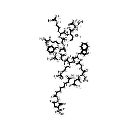 CC[C@@H](C)[C@H](NC(=O)[C@H](CCCNC(=N)N)NC(=O)[C@@H](CCCNC(=N)N)NC(=O)[C@H](Cc1ccccc1)NC(=O)[C@@H](CC(C)C)NC(=O)[C@H](CCCNC(N)N)NC(=O)[C@@H](Cc1c[nH]c2ccccc12)NC(=O)CNC(=O)[C@@H](CO)NC(=O)[C@@H](NC(=O)CCCCCCC(=O)ON1C(=O)CC(S(=O)(=O)O)C1=O)C(C)C)C(=O)N[C@@H](CO)C(N)=O